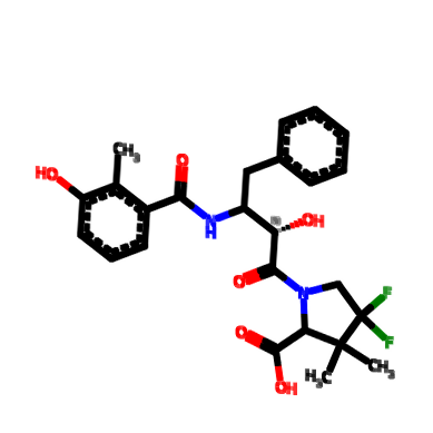 Cc1c(O)cccc1C(=O)NC(Cc1ccccc1)[C@H](O)C(=O)N1CC(F)(F)C(C)(C)C1C(=O)O